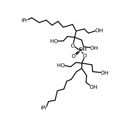 CC(C)CCCCCCCC(CCO)C(CCO)(CCO)OP(=O)(O)OC(CCO)(CCO)C(CCO)CCCCCCCC(C)C